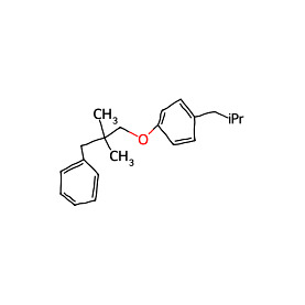 CC(C)Cc1ccc(OCC(C)(C)Cc2ccccc2)cc1